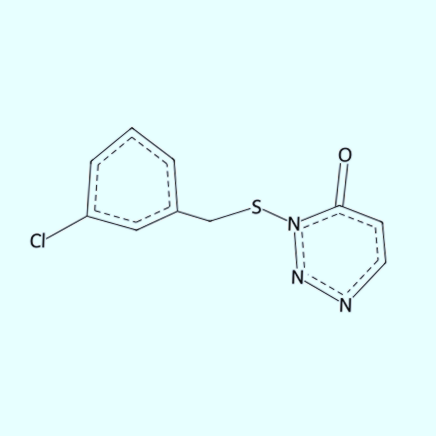 O=c1ccnnn1SCc1cccc(Cl)c1